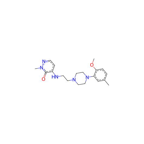 COc1ccc(C)cc1N1CCN(CCNc2ccnn(C)c2=O)CC1